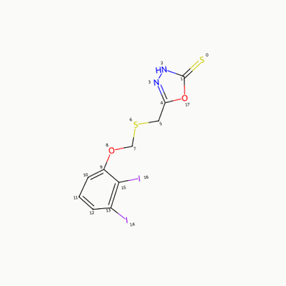 S=c1[nH]nc(CSCOc2cccc(I)c2I)o1